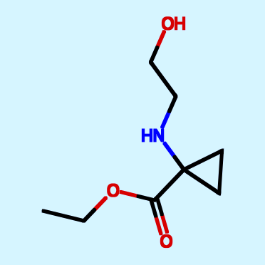 CCOC(=O)C1(NCCO)CC1